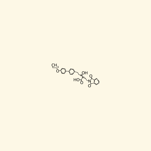 CCCOc1ccc(-c2ccc(CC[C@@H](O)[C@@H](CCN3C(=O)c4ccccc4C3=O)C(=O)O)cc2)cc1